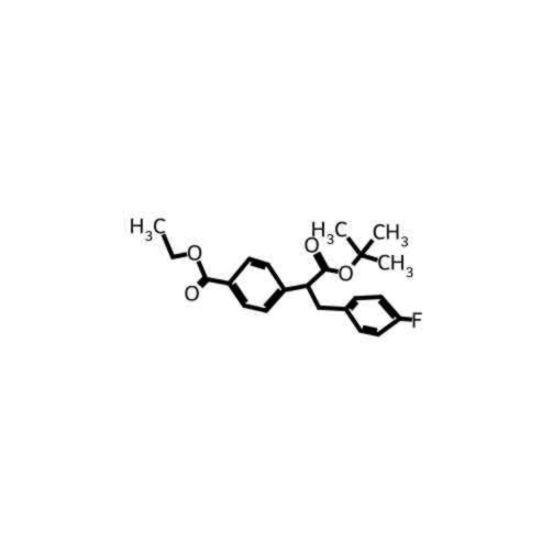 CCOC(=O)c1ccc(C(Cc2ccc(F)cc2)C(=O)OC(C)(C)C)cc1